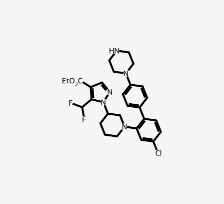 CCOC(=O)c1cnn(C2CCCN(c3cc(Cl)ccc3-c3ccc(N4CCNCC4)cc3)C2)c1C(F)F